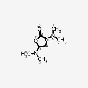 CN(C)C1CN(N(C)C)C(=O)O1